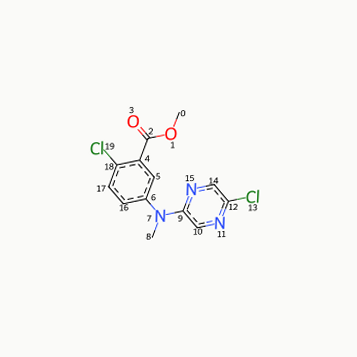 COC(=O)c1cc(N(C)c2cnc(Cl)cn2)ccc1Cl